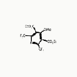 CCOC(=O)c1c(C(F)(F)F)nc(C(F)(F)F)c(C(=O)OCC)c1OC